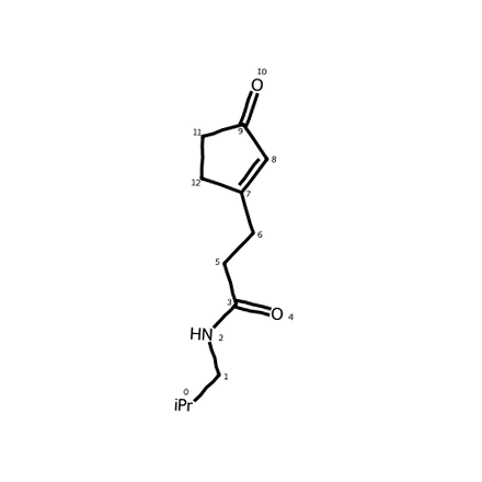 CC(C)CNC(=O)CCC1=CC(=O)CC1